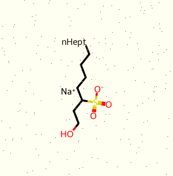 CCCCCCCCCCCC(CCO)S(=O)(=O)[O-].[Na+]